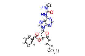 CCNC(=O)Nc1ncnc2c1ncn2C1OC(CCCC(=O)O)C2O[C@H](c3ccccc3)OC21